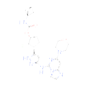 O=C(NC12CC(C1)C2)O[C@H]1CC[C@@H](c2cc(Nc3nc(N4CCOCC4)cc4nccn34)n[nH]2)[C@@H]1F